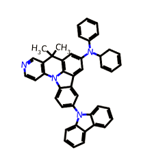 CC1(C)c2cnccc2-n2c3ccc(-n4c5ccccc5c5ccccc54)cc3c3cc(N(c4ccccc4)C4C=CC=CC4)cc1c32